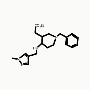 CCOC(=O)CC1CN(Cc2ccccc2)CCC1NCc1cnn(C)c1